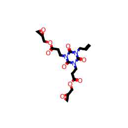 C=CCn1c(=O)n(CCC(=O)OCC2CO2)c(=O)n(CCC(=O)OCC2CO2)c1=O